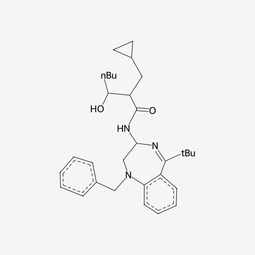 CCCCC(O)C(CC1CC1)C(=O)NC1CN(Cc2ccccc2)c2ccccc2C(C(C)(C)C)=N1